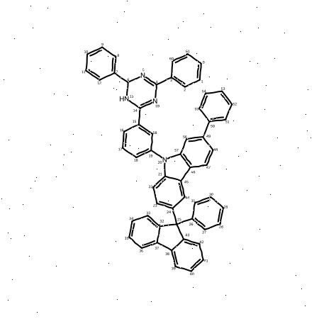 c1ccc(C2=NC(c3ccccc3)NC(c3cccc(-n4c5ccc(C6(c7ccccc7)c7ccccc7-c7ccccc76)cc5c5ccc(-c6ccccc6)cc54)c3)=N2)cc1